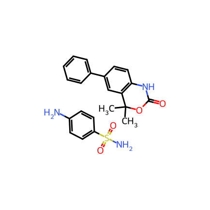 CC1(C)OC(=O)Nc2ccc(-c3ccccc3)cc21.Nc1ccc(S(N)(=O)=O)cc1